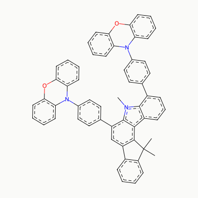 Cn1c2c(-c3ccc(N4c5ccccc5Oc5ccccc54)cc3)cccc2c2c3c(cc(-c4ccc(N5c6ccccc6Oc6ccccc65)cc4)c21)-c1ccccc1C3(C)C